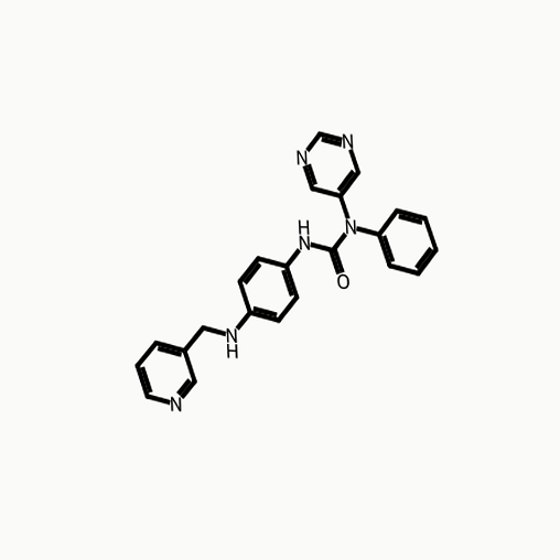 O=C(Nc1ccc(NCc2cccnc2)cc1)N(c1ccccc1)c1cncnc1